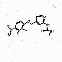 CNC(=O)Nc1cc(COc2ccc([N+](=O)[O-])c(C)c2C)ccn1